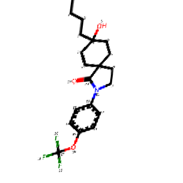 CCCCC1(O)CCC2(CCN(c3ccc(OC(F)(F)F)cc3)C2=O)CC1